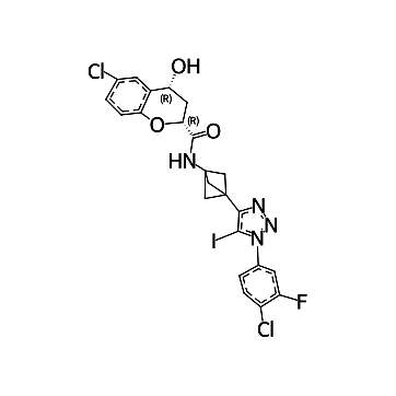 O=C(NC12CC(c3nnn(-c4ccc(Cl)c(F)c4)c3I)(C1)C2)[C@H]1C[C@@H](O)c2cc(Cl)ccc2O1